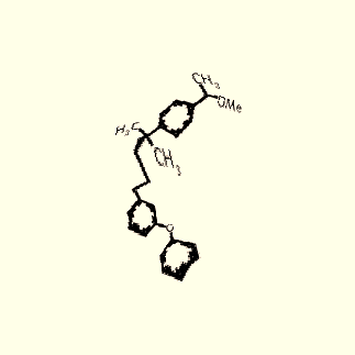 COC(C)c1ccc(C(C)(C)CCCc2cccc(Oc3ccccc3)c2)cc1